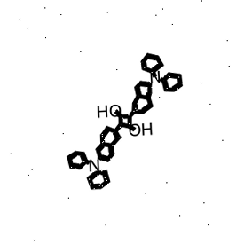 OC1C(c2ccc3cc(N(c4ccccc4)c4ccccc4)ccc3c2)C(O)C1c1ccc2cc(N(c3ccccc3)c3ccccc3)ccc2c1